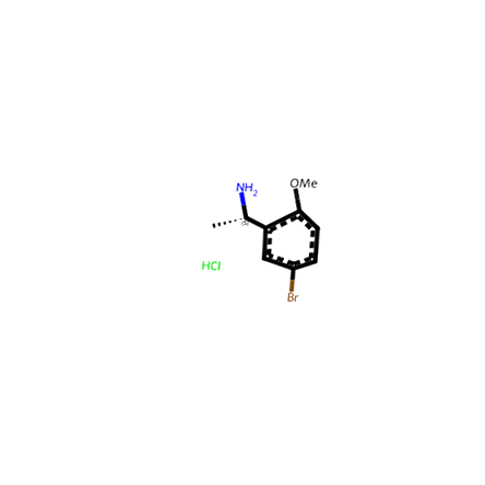 COc1ccc(Br)cc1[C@H](C)N.Cl